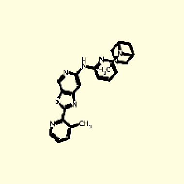 Cc1cccnc1-c1nc2cc(Nc3cccc(N4C5CC4CN(C)C5)n3)ncc2s1